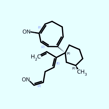 C=C/C(=C\C/C=C\N=O)[C@@]1(C2=CCC/C=C(N=O)\C=C/2)CCC[C@@H](C)C1